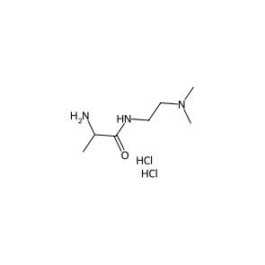 CC(N)C(=O)NCCN(C)C.Cl.Cl